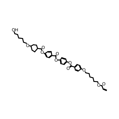 C=CC(=O)OCCCCCCOc1ccc(C(=O)Oc2ccc(OC(=O)c3ccc(OC(=O)C4CCC(OCCCCCCO)CC4)cc3)cc2)cc1